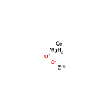 [Ce].[MgH2].[O-2].[O-2].[Zr+4]